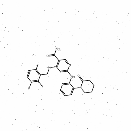 NC(=O)c1cnc(Nc2ncccc2N2CCCCC2=O)cc1NCc1c(F)ccc(F)c1F